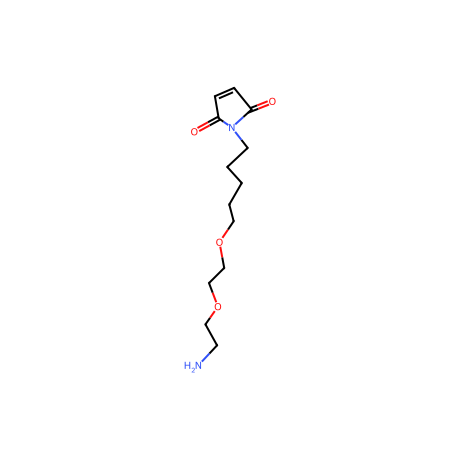 NCCOCCOCCCCCN1C(=O)C=CC1=O